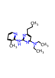 CCCc1cc(N(CC)CC)nc(Nc2ncccc2C)n1